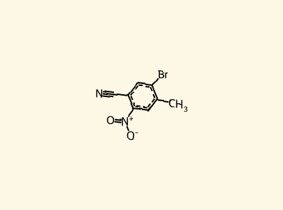 Cc1cc([N+](=O)[O-])c(C#N)cc1Br